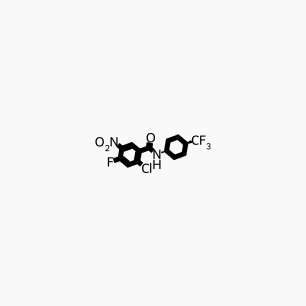 O=C(N[C@H]1CC[C@H](C(F)(F)F)CC1)c1cc([N+](=O)[O-])c(F)cc1Cl